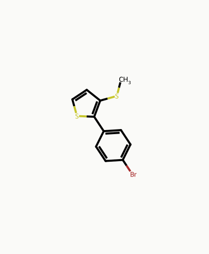 CSc1ccsc1-c1ccc(Br)cc1